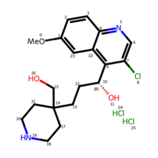 COc1ccc2ncc(Cl)c([C@H](O)CCC3(CO)CCNCC3)c2c1.Cl.Cl